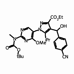 CCOC(=O)c1nn(-c2cnc(N(C)C(=O)OC(C)(C)C)nc2OC)c(C(C)C)c1C(O)c1ccc(C#N)cc1